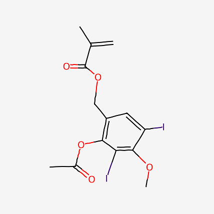 C=C(C)C(=O)OCc1cc(I)c(OC)c(I)c1OC(C)=O